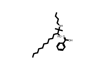 CCCCCCCCCCC(O)C(C)(C)NCCCC.O=C(O)c1ccccc1